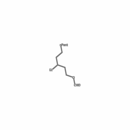 CCCCCCCC(CC)CCOC=O